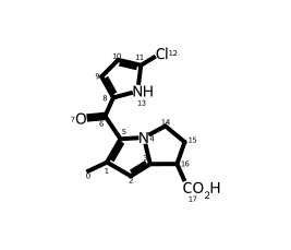 Cc1cc2n(c1C(=O)c1ccc(Cl)[nH]1)CCC2C(=O)O